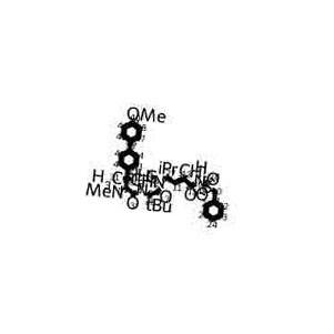 CN[C@H](C(=O)NC(C(=O)N(C)[C@H](/C=C(\C)C(=O)NS(=O)(=O)Cc1ccccc1)C(C)C)C(C)(C)C)C(C)(C)c1ccc(-c2ccc(OC)cc2)cc1